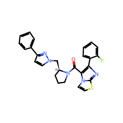 O=C(c1c(-c2ccccc2F)nc2sccn12)N1CCC[C@H]1Cn1ccc(-c2ccccc2)n1